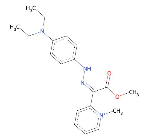 CCN(CC)c1ccc(N/N=C(\C(=O)OC)c2cccc[n+]2C)cc1